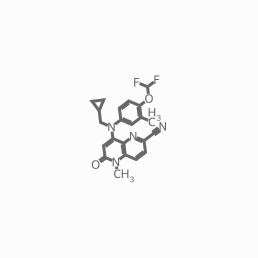 Cc1cc(N(CC2CC2)c2cc(=O)n(C)c3ccc(C#N)nc23)ccc1OC(F)F